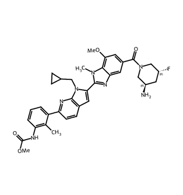 COC(=O)Nc1cccc(-c2ccc3cc(-c4nc5cc(C(=O)N6C[C@H](N)C[C@@H](F)C6)cc(OC)c5n4C)n(CC4CC4)c3n2)c1C